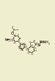 CC(C)Oc1ccc(-c2nc(-c3cccc4c3CC[C@@H]4N=NN)ns2)cc1C#N